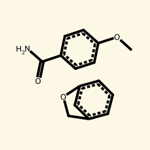 COc1ccc(C(N)=O)cc1.c1cc2cc(c1)OC2